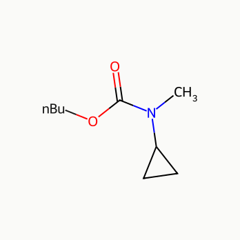 CCCCOC(=O)N(C)C1CC1